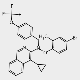 Cc1cc(Br)ccc1ON(Cc1ccc(OC(F)(F)F)cc1)c1ncc2ccccc2c1C1CC1